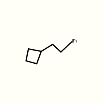 CC(C)CCC1CCC1